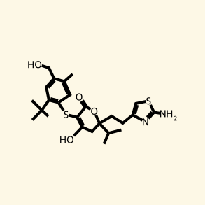 Cc1cc(SC2=C(O)CC(CCc3csc(N)n3)(C(C)C)OC2=O)c(C(C)(C)C)cc1CO